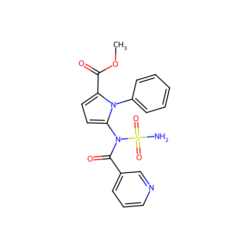 COC(=O)c1ccc(N(C(=O)c2cccnc2)S(N)(=O)=O)n1-c1ccccc1